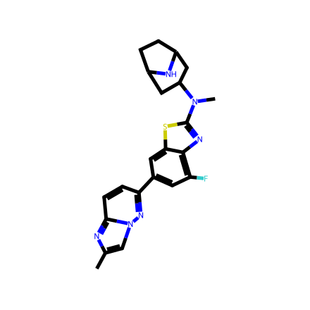 Cc1cn2nc(-c3cc(F)c4nc(N(C)C5CC6CCC(C5)N6)sc4c3)ccc2n1